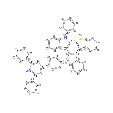 c1ccc(-c2cc(-c3ccc(-n4c5ccccc5c5c6c7ccccc7sc6c6c(c7ccccc7n6-c6ccccc6)c54)cc3)cc(-c3ccccc3)n2)cc1